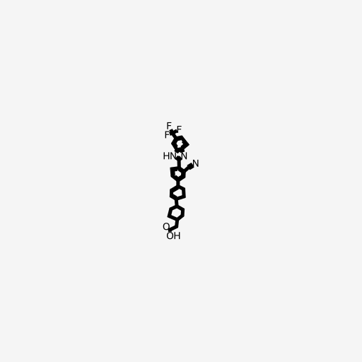 N#Cc1cc(C2=CC=C(C3CCC(CC(=O)O)CC3)CC2)ccc1-c1nc2ccc(C(F)(F)F)cc2[nH]1